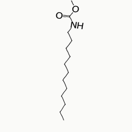 CCCCCCCCCCCCNC(=O)OC